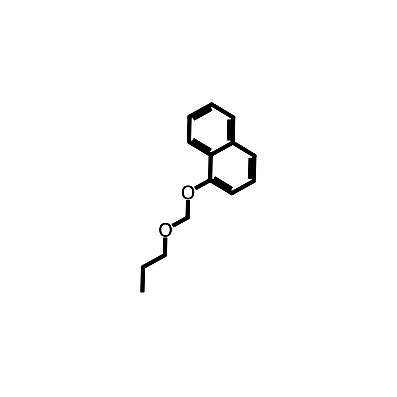 CCCOCOc1cccc2ccccc12